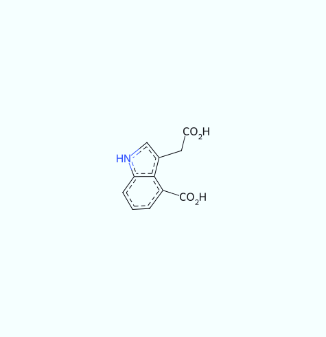 O=C(O)Cc1c[nH]c2cccc(C(=O)O)c12